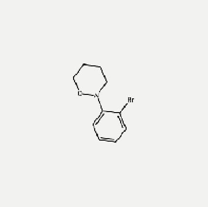 Brc1cccc[c]1[Al]1[CH2]CCC[O]1